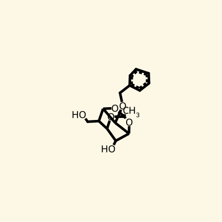 CC12OC3C(O)C(O1)C(OCc1ccccc1)C(O2)C3CO